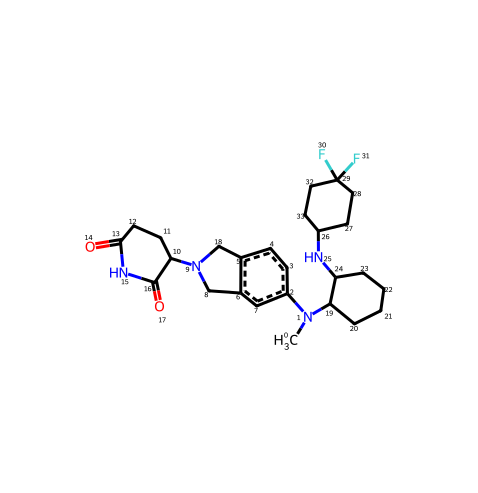 CN(c1ccc2c(c1)CN(C1CCC(=O)NC1=O)C2)C1CCCCC1NC1CCC(F)(F)CC1